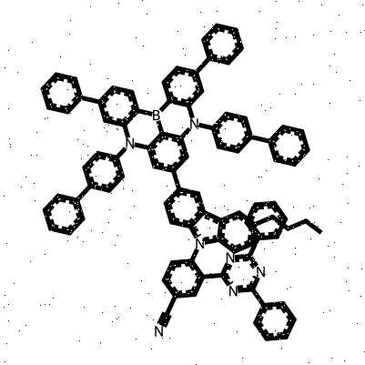 CCCCc1ccc2c(c1)c1cc(-c3cc4c5c(c3)N(c3ccc(-c6ccccc6)cc3)c3cc(-c6ccccc6)ccc3B5c3ccc(-c5ccccc5)cc3N4c3ccc(-c4ccccc4)cc3)ccc1n2-c1ccc(C#N)cc1-c1nc(-c2ccccc2)nc(-c2ccccc2)n1